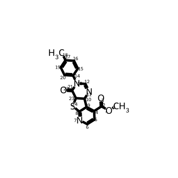 COC(=O)c1ccnc2c1C1N=CN(c3ccc(C)cc3)C(=O)C1S2